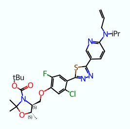 C=CCN(c1ccc(-c2nnc(-c3cc(F)c(OC[C@H]4[C@H](C)OC(C)(C)N4C(=O)OC(C)(C)C)cc3Cl)s2)cn1)C(C)C